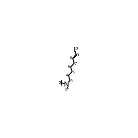 CN(I)CCCCCC=CI